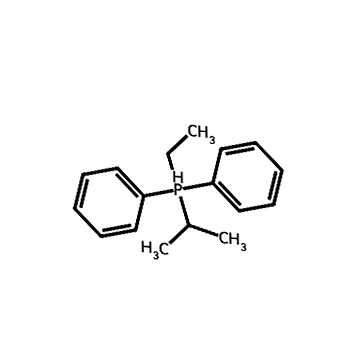 CC[PH](c1ccccc1)(c1ccccc1)C(C)C